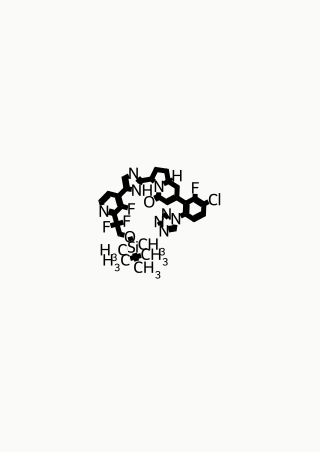 CC(C)(C)[Si](C)(C)OCC(F)(F)c1nccc(-c2cnc(C3CC[C@@H]4CC(c5c(-n6cnnn6)ccc(Cl)c5F)=CC(=O)N34)[nH]2)c1F